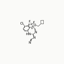 N#CN=C1N=C[C@@](OCC2CCC2)(C(F)(F)F)c2cc(Cl)ccc2N1